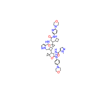 Cn1nccc1C(=O)N[C@H](C(=O)Nc1ccc(N2CCOCC2)cc1)C(C1CCC1Cn1nccc1C(=O)N[C@H](C(=O)Nc1ccc(N2CCOCC2)nc1)C(C1CCC1)C1(C)CC1)C1(C)CC1